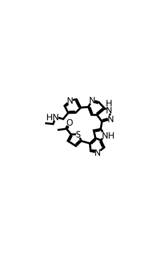 CCNCc1cncc(-c2cc3c(-c4cc5c(-c6ccc(C(C)=O)s6)cncc5[nH]4)n[nH]c3cn2)c1